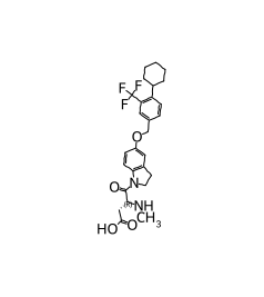 CN[C@H](CC(=O)O)C(=O)N1CCc2cc(OCc3ccc(C4CCCCC4)c(C(F)(F)F)c3)ccc21